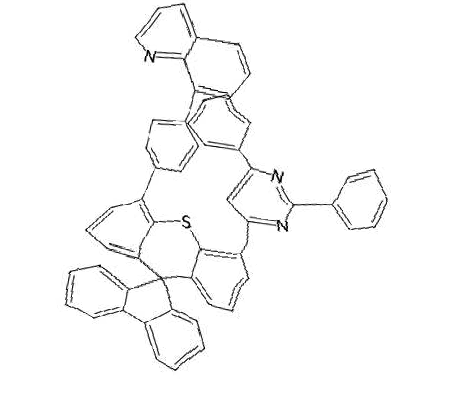 c1ccc(-c2cc(-c3cccc4c3Sc3c(-c5ccc(-c6cccc7cccnc67)cc5)cccc3C43c4ccccc4-c4ccccc43)nc(-c3ccccc3)n2)cc1